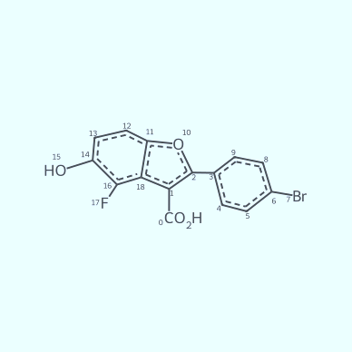 O=C(O)c1c(-c2ccc(Br)cc2)oc2ccc(O)c(F)c12